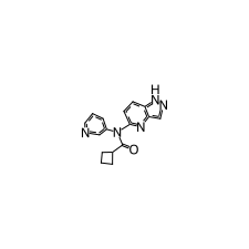 O=C(C1CCC1)N(c1cccnc1)c1ccc2[nH]ncc2n1